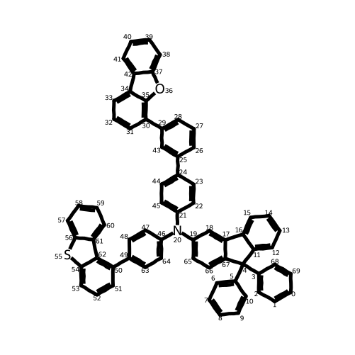 c1ccc(C2(c3ccccc3)c3ccccc3-c3cc(N(c4ccc(-c5cccc(-c6cccc7c6oc6ccccc67)c5)cc4)c4ccc(-c5cccc6sc7ccccc7c56)cc4)ccc32)cc1